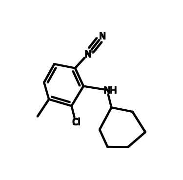 Cc1ccc([N+]#N)c(NC2CCCCC2)c1Cl